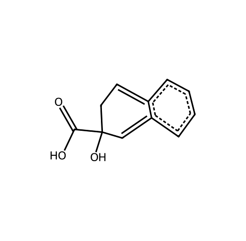 O=C(O)C1(O)C=c2ccccc2=CC1